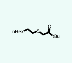 CCCCCCCCSCC(=O)C(C)(C)C